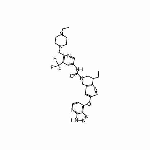 CCC1CN(C(=O)Nc2cnc(CN3CCN(CC)CC3)c(C(F)(F)F)c2)Cc2cc(Oc3ccnc4[nH]nnc34)cnc21